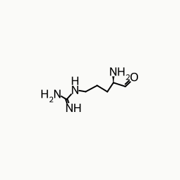 N=C(N)NCCC[C@@H](N)C=O